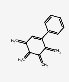 C=c1cc(-c2ccccc2)c(=C)c(=C)c1=C